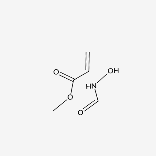 C=CC(=O)OC.O=CNO